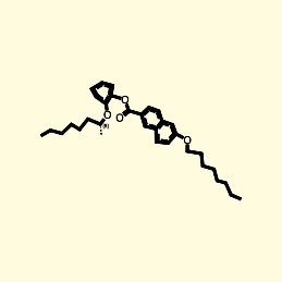 CCCCCCCCOc1ccc2cc(C(=O)Oc3ccccc3O[C@H](C)CCCCCC)ccc2c1